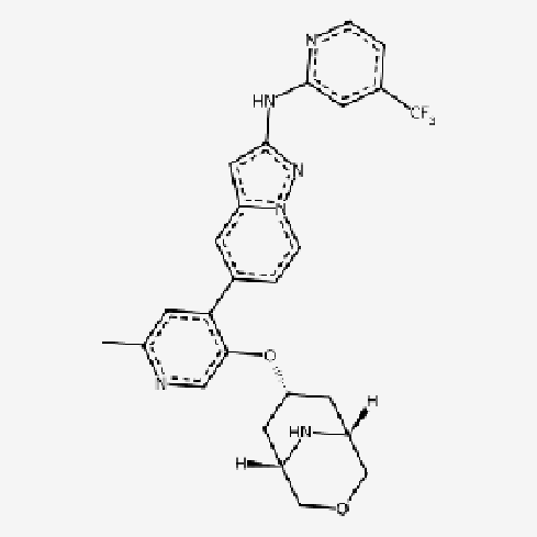 Cc1cc(-c2ccn3nc(Nc4cc(C(F)(F)F)ccn4)cc3c2)c(O[C@H]2C[C@H]3COC[C@@H](C2)N3)cn1